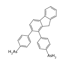 [AsH2]c1ccc(-c2ccc3c(c2-c2ccc([AsH2])cc2)Cc2ccccc2-3)cc1